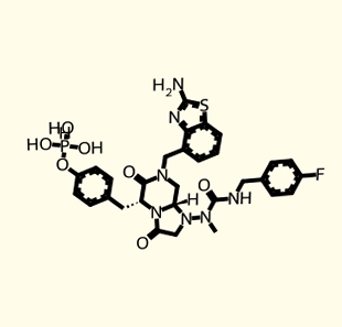 CN(C(=O)NCc1ccc(F)cc1)N1CC(=O)N2[C@H](Cc3ccc(O[PH](O)(O)O)cc3)C(=O)N(Cc3cccc4sc(N)nc34)C[C@@H]21